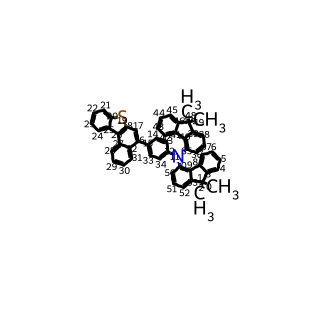 CC1(C)c2ccccc2-c2c(N(c3ccc(-c4cc5sc6ccccc6c5c5ccccc45)cc3)c3cccc4c3-c3ccccc3C4(C)C)cccc21